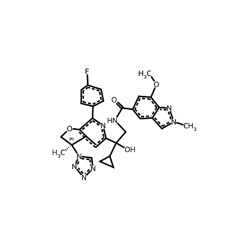 COc1cc(C(=O)NCC(O)(c2cc3c(c(-c4ccc(F)cc4)n2)OC[C@]3(C)n2cnnn2)C2CC2)cc2cn(C)nc12